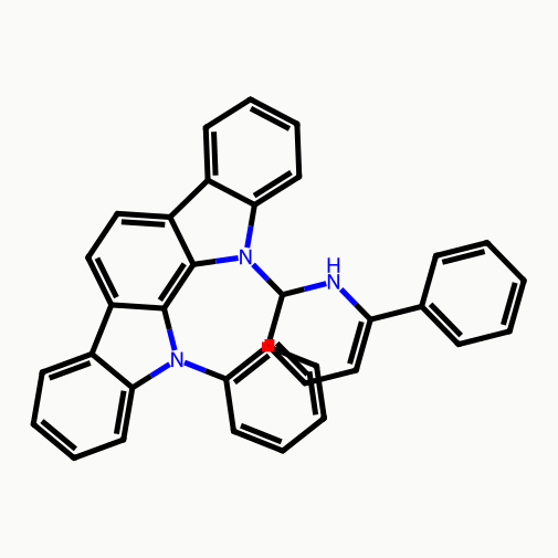 C1=CC(n2c3ccccc3c3ccc4c5ccccc5n(-c5ccccc5)c4c32)NC(c2ccccc2)=C1